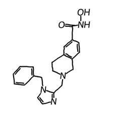 O=C(NO)c1ccc2c(c1)CCN(Cc1nccn1Cc1ccccc1)C2